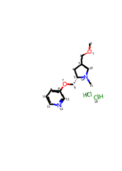 COCC1C[C@@H](COc2cccnc2)N(C)C1.Cl.Cl